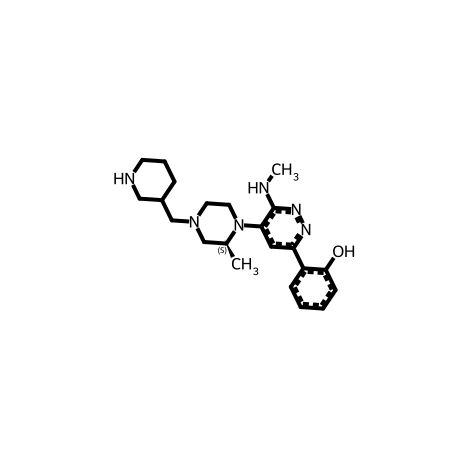 CNc1nnc(-c2ccccc2O)cc1N1CCN(CC2CCCNC2)C[C@@H]1C